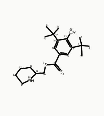 CC(C)(C)c1cc(C(=S)SCC2CCCCN2)cc(C(C)(C)C)c1O